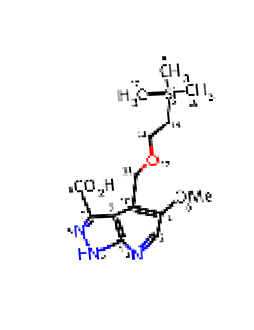 COc1cnc2[nH]nc(C(=O)O)c2c1COCC[Si](C)(C)C